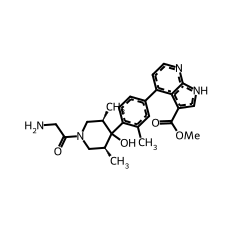 COC(=O)c1c[nH]c2nccc(-c3ccc(C4(O)[C@H](C)CN(C(=O)CN)C[C@@H]4C)c(C)c3)c12